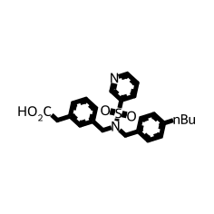 CCCCc1ccc(CN(Cc2cccc(CC(=O)O)c2)S(=O)(=O)c2cccnc2)cc1